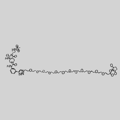 CS(=O)(=O)NCCN1C(=O)NC2(CCN(C(=O)Nc3cccc(-c4cn(CCOCCOCCOCCOCCOCCOCCOCCOCCOCCOCCOCCOCCC(=O)ON5C(=O)CCC5=O)nn4)c3)CC2)C1=O